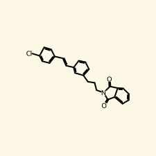 O=C1c2ccccc2C(=O)N1CCCc1cccc(/C=C/c2ccc(Cl)cc2)c1